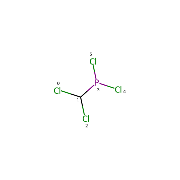 ClC(Cl)P(Cl)Cl